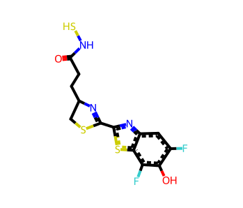 O=C(CCC1CSC(c2nc3cc(F)c(O)c(F)c3s2)=N1)NS